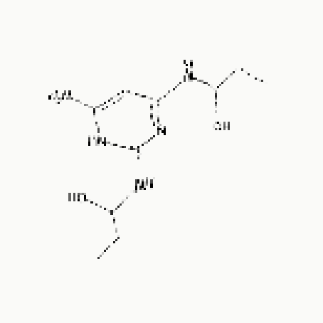 CCC(O)NC1=NN(NC(O)CC)NC(N)=C1